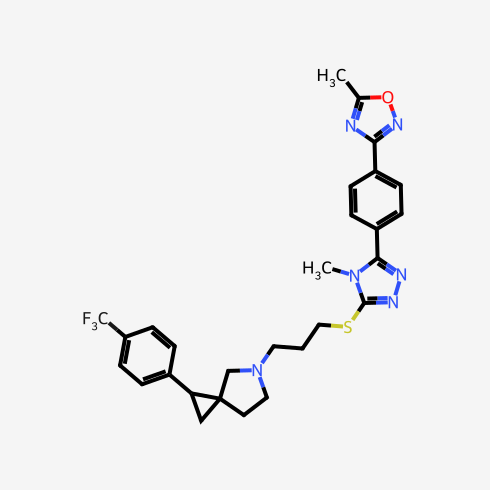 Cc1nc(-c2ccc(-c3nnc(SCCCN4CCC5(CC5c5ccc(C(F)(F)F)cc5)C4)n3C)cc2)no1